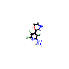 NNc1nc(F)c(F)c(C2CNCCO2)c1F